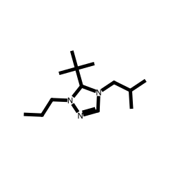 CCCN1N=CN(CC(C)C)C1C(C)(C)C